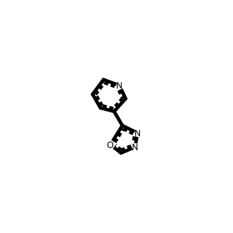 c1cncc(-c2nnco2)c1